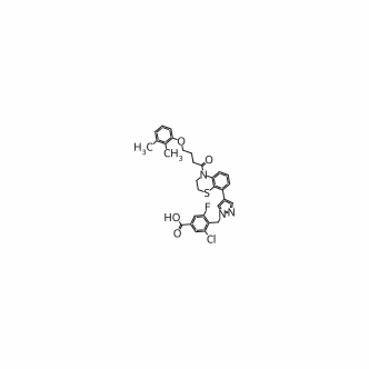 Cc1cccc(OCCCC(=O)N2CCSc3c(-c4cnn(Cc5c(F)cc(C(=O)O)cc5Cl)c4)cccc32)c1C